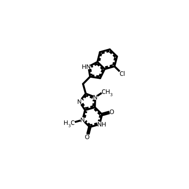 Cn1c(Cc2cc3c(Cl)cccc3[nH]2)nc2c1c(=O)[nH]c(=O)n2C